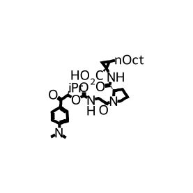 CCCCCCCCC1C[C@]1(NC(=O)[C@@H]1CCCN1C(=O)CNC(=O)O[C@H](C(=O)c1ccc(N(C)C)cc1)C(C)C)C(=O)O